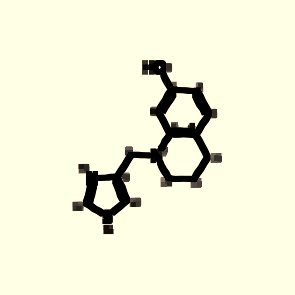 Oc1ccc2c(c1)N(Cc1cscn1)CCC2